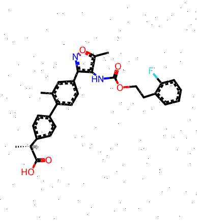 Cc1cc(-c2noc(C)c2NC(=O)OCCc2ccccc2F)ccc1-c1ccc([C@@H](C)C(=O)O)cc1